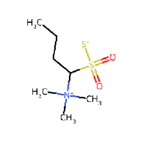 CCCC([N+](C)(C)C)S(=O)(=O)[S-]